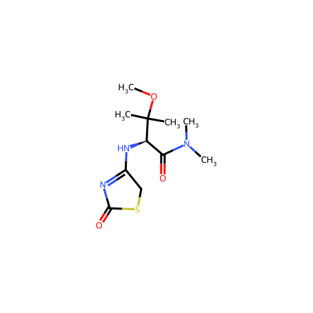 COC(C)(C)[C@H](NC1=NC(=O)SC1)C(=O)N(C)C